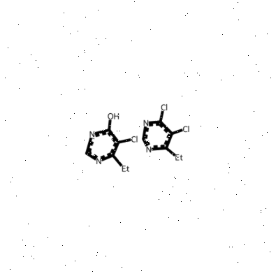 CCc1ncnc(Cl)c1Cl.CCc1ncnc(O)c1Cl